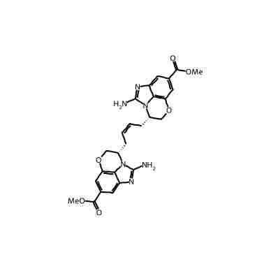 COC(=O)c1cc2c3c(c1)nc(N)n3[C@@H](C/C=C\C[C@H]1COc3cc(C(=O)OC)cc4nc(N)n1c34)CO2